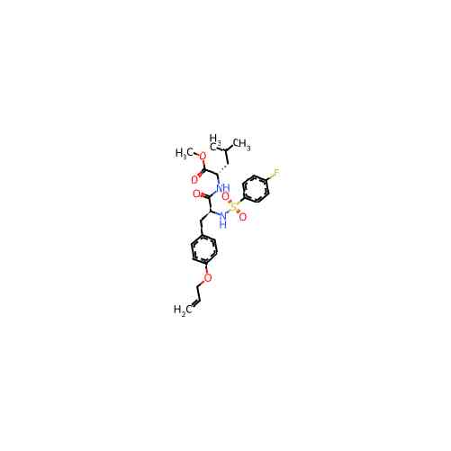 C=CCOc1ccc(C[C@H](NS(=O)(=O)c2ccc(F)cc2)C(=O)N[C@@H](CC(C)C)C(=O)OC)cc1